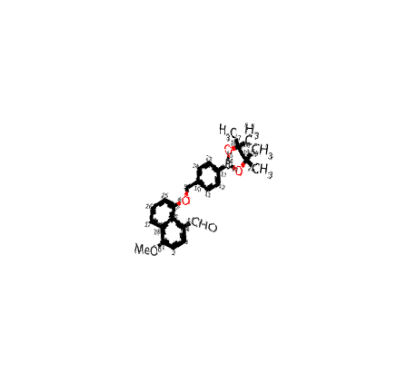 COc1ccc(C=O)c2c(OCc3ccc(B4OC(C)(C)C(C)(C)O4)cc3)cccc12